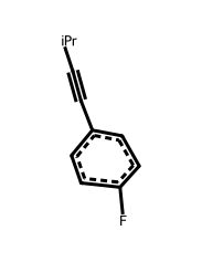 CC(C)C#Cc1ccc(F)cc1